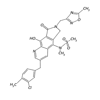 Cc1nc(CN2Cc3c(c(O)c4ncc(Cc5ccc(C)c(Cl)c5)cc4c3N(C)S(C)(=O)=O)C2=O)no1